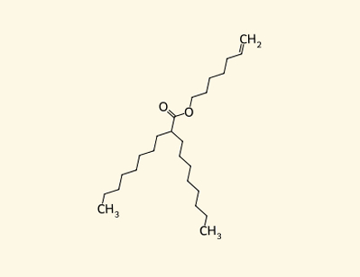 C=CCCCCCOC(=O)C(CCCCCCCC)CCCCCCCC